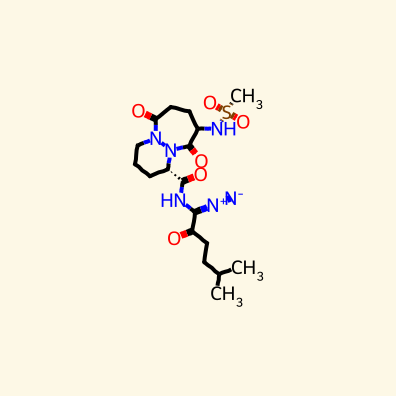 CC(C)CCC(=O)C(=[N+]=[N-])NC(=O)[C@@H]1CCCN2C(=O)CCC(NS(C)(=O)=O)C(=O)N12